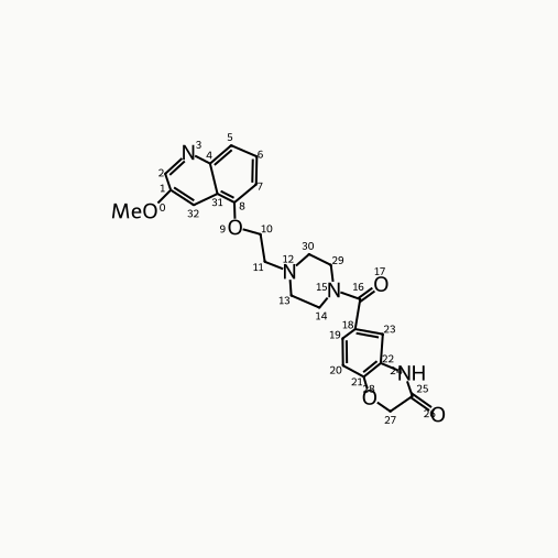 COc1cnc2cccc(OCCN3CCN(C(=O)c4ccc5c(c4)NC(=O)CO5)CC3)c2c1